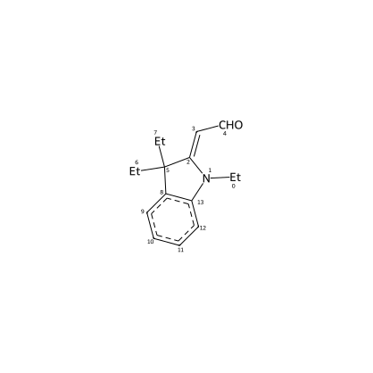 CCN1/C(=C\C=O)C(CC)(CC)c2ccccc21